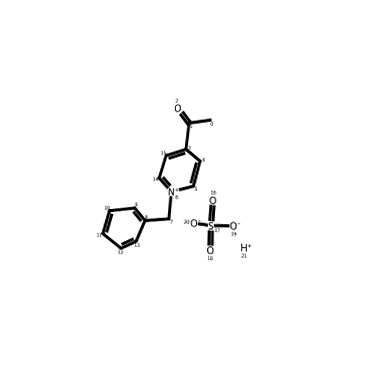 CC(=O)c1cc[n+](Cc2ccccc2)cc1.O=S(=O)([O-])[O-].[H+]